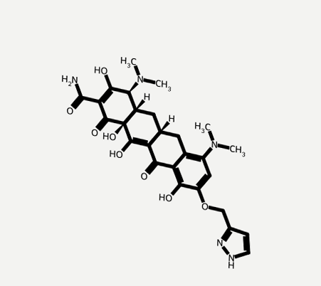 CN(C)c1cc(OCc2cc[nH]n2)c(O)c2c1C[C@H]1C[C@H]3[C@H](N(C)C)C(O)=C(C(N)=O)C(=O)[C@@]3(O)C(O)=C1C2=O